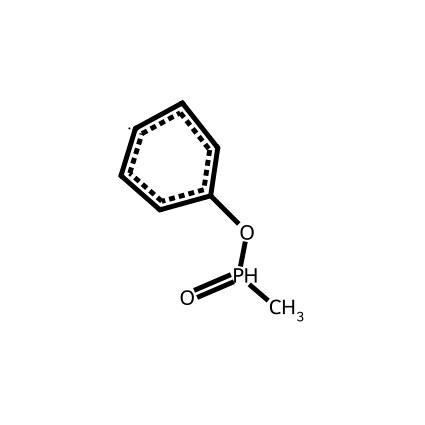 C[PH](=O)Oc1cc[c]cc1